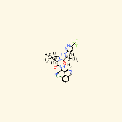 CC(C)(C)[C@H](Nc1ccc(C(F)(F)F)nn1)C(=O)N1C[C@H]2[C@@H]([C@H]1C(=O)NC(C#N)c1cncc3cccc(Cl)c13)C2(C)C